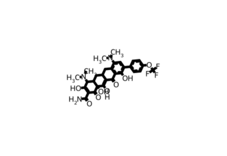 CN(C)c1cc(-c2ccc(OC(F)(F)F)cc2)c(O)c2c1CC1CC3C(N(C)C)C(O)=C(C(N)=O)C(=O)C3(O)C(O)=C1C2=O